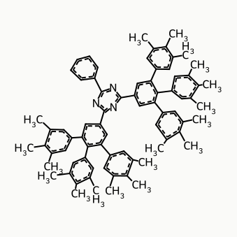 Cc1cc(-c2cc(-c3nc(-c4ccccc4)nc(-c4cc(-c5cc(C)c(C)c(C)c5)c(-c5cc(C)c(C)c(C)c5)c(-c5cc(C)c(C)c(C)c5)c4)n3)cc(-c3cc(C)c(C)c(C)c3)c2-c2cc(C)c(C)c(C)c2)cc(C)c1C